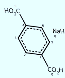 O=C(O)c1ccc(C(=O)O)cc1.[NaH]